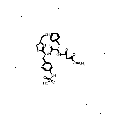 CCC1CSC([C@H](Cc2ccc(NS(=O)(=O)O)cc2)NC(=O)[C@H](Cc2ccccc2)NC(=O)CC(=O)OC)=N1